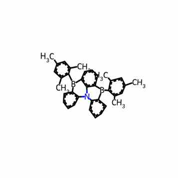 Cc1cc(C)c(B2c3ccccc3N3c4ccccc4B(c4c(C)cc(C)cc4C)c4cccc2c43)c(C)c1